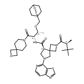 C[C@H](C(=O)N1CC2(C1)CN(c1nccc3ncsc13)C[C@H]2C(=O)N[C@H](C(=O)N1CCC2(CC1)COC2)[C@@H](C)OCC12CCC(CC1)OC2)C(C)(C)C